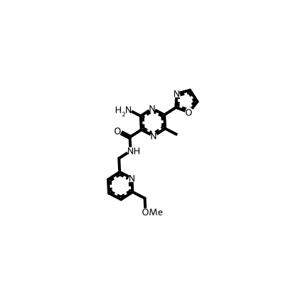 COCc1cccc(CNC(=O)c2nc(C)c(-c3ncco3)nc2N)n1